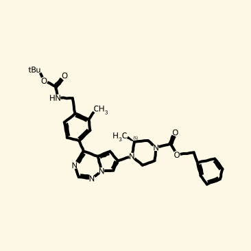 Cc1cc(-c2ncnn3cc(N4CCN(C(=O)OCc5ccccc5)C[C@@H]4C)cc23)ccc1CNC(=O)OC(C)(C)C